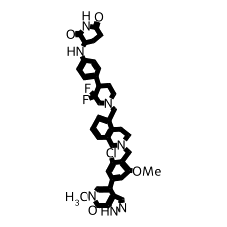 COc1cc(-c2cn(C)c(=O)c3[nH]ncc23)cc(Cl)c1CN1CCc2c(cccc2CN2CCC(c3ccc(NC4CCC(=O)NC4=O)cc3)C(F)(F)C2)C1